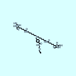 C#CCOCCNC(=O)c1ccc(CN(CCCCCCCNC(=O)CCCCC2SCC3NC(=N)NC32)CCCCCCCNC(=O)CCCCC2SCC3NC(=N)NC32)cc1